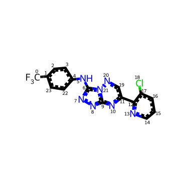 FC(F)(F)c1ccc(Nc2nnc3nc(-c4ncccc4Cl)cnn23)cc1